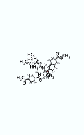 CN[C@@H](C)C(=O)N[C@H]1CN(C(=O)c2ccc(C(C)=O)cc2)c2ccccc2N(Cc2c(OC)ccc3cc(C(=O)OC)ccc23)C1=O.Cl